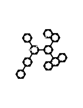 c1ccc(-c2ccc(-c3cc(-c4cc(-c5c6ccccc6cc6ccccc56)cc(-c5cccc6cccnc56)c4)nc(-c4ccccc4)n3)cc2)cc1